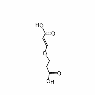 O=C(O)C=COCCC(=O)O